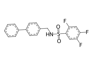 O=S(=O)(NCc1ccc(-c2ccccc2)cc1)c1cc(F)c(F)cc1F